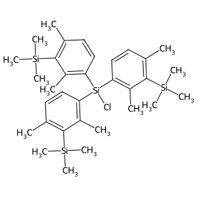 Cc1ccc([Si](Cl)(c2ccc(C)c([Si](C)(C)C)c2C)c2ccc(C)c([Si](C)(C)C)c2C)c(C)c1[Si](C)(C)C